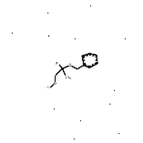 CCCOCC(C)(CC)OCc1ccccc1